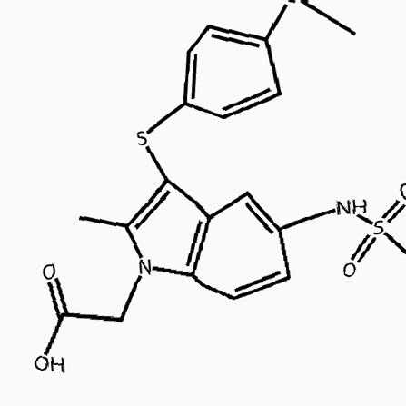 COc1ccc(Sc2c(C)n(CC(=O)O)c3ccc(NS(C)(=O)=O)cc23)cc1